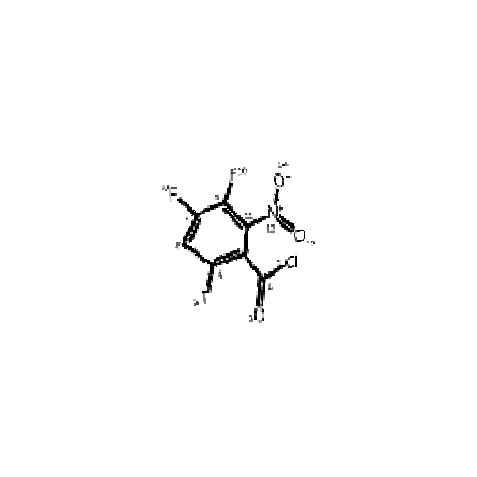 O=C(Cl)c1c(F)cc(F)c(F)c1[N+](=O)[O-]